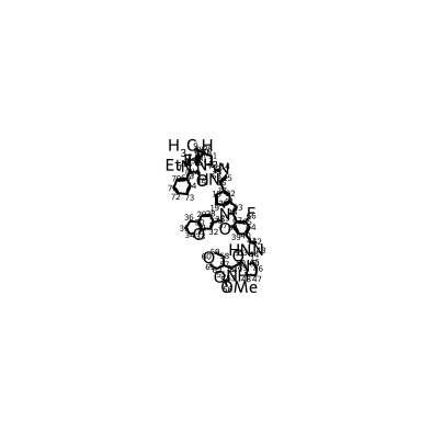 CCN(CC)[C@@H](C(=O)N1[C@@H]2[C@H](C)[C@@H]2C[C@H]1c1ncc(-c2ccc3c(c2)cc2n3C(c3ccc4c(c3)OCCC4)Oc3cc(-c4cnc([C@@H]5CCCN5C(=O)[C@@H](NC(=O)OC)C5CCOCC5)[nH]4)cc(F)c3-2)[nH]1)c1ccccc1